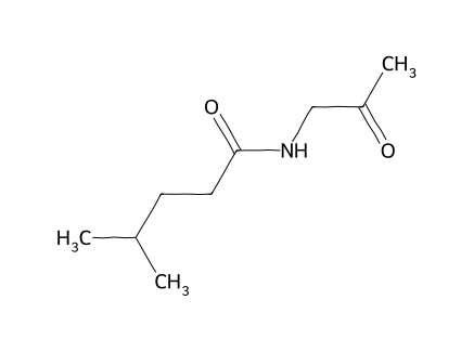 CC(=O)CNC(=O)CCC(C)C